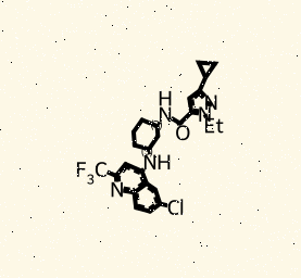 CCn1nc(C2CC2)cc1C(=O)N[C@@H]1CCC[C@H](Nc2cc(C(F)(F)F)nc3ccc(Cl)cc23)C1